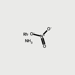 N.O=[N+]([O-])[O-].[Rh]